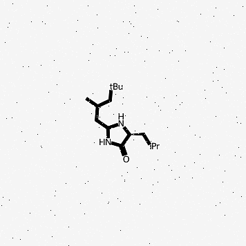 CC(C)C[C@@H]1NC(CC(C)CC(C)(C)C)NC1=O